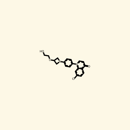 O=c1ccn(-c2ccc(N3CC(OCCO)C3)cc2)c2cc(Cl)ccc12